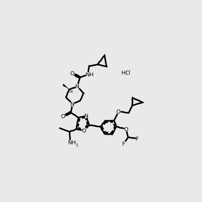 CC(N)c1oc(-c2ccc(OC(F)F)c(OCC3CC3)c2)nc1C(=O)N1CCN(C(=O)NCC2CC2)[C@H](C)C1.Cl